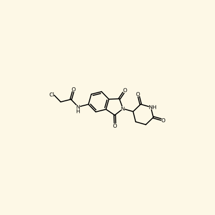 O=C1CCC(N2C(=O)c3ccc(NC(=O)CCl)cc3C2=O)C(=O)N1